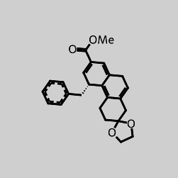 COC(=O)C1=C[C@@H](Cc2ccccc2)C2=C3CCC4(CC3=CCC2=C1)OCCO4